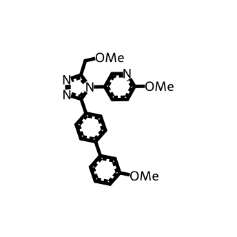 COCc1nnc(-c2ccc(-c3cccc(OC)c3)cc2)n1-c1ccc(OC)nc1